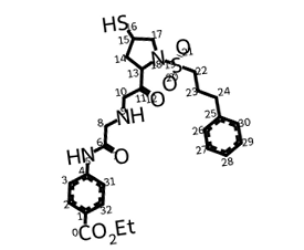 CCOC(=O)c1ccc(NC(=O)CNCC(=O)C2CC(S)CN2S(=O)(=O)CCCc2ccccc2)cc1